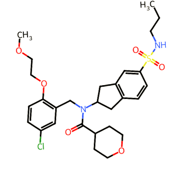 CCCNS(=O)(=O)c1ccc2c(c1)CC(N(Cc1cc(Cl)ccc1OCCOC)C(=O)C1CCOCC1)C2